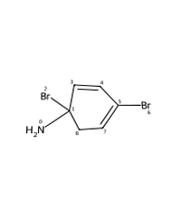 NC1(Br)C=CC(Br)=CC1